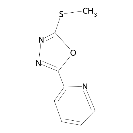 CSc1nnc(-c2ccccn2)o1